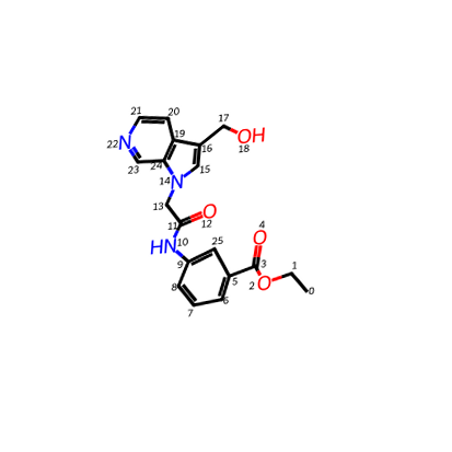 CCOC(=O)c1cccc(NC(=O)Cn2cc(CO)c3ccncc32)c1